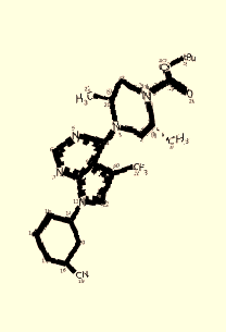 C[C@@H]1CN(c2ncnc3c2c(C(F)(F)F)cn3C2CCCC(C#N)C2)[C@@H](C)CN1C(=O)OC(C)(C)C